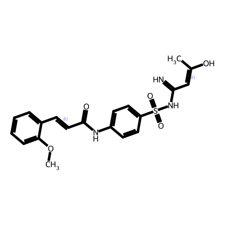 COc1ccccc1/C=C/C(=O)Nc1ccc(S(=O)(=O)NC(=N)/C=C(\C)O)cc1